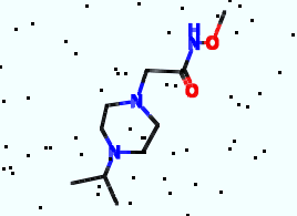 CONC(=O)CN1CCN(C(C)C)CC1